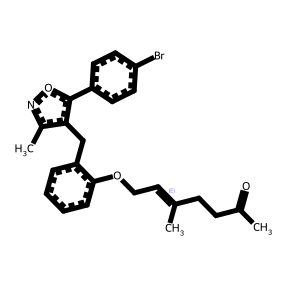 CC(=O)CC/C(C)=C/COc1ccccc1Cc1c(C)noc1-c1ccc(Br)cc1